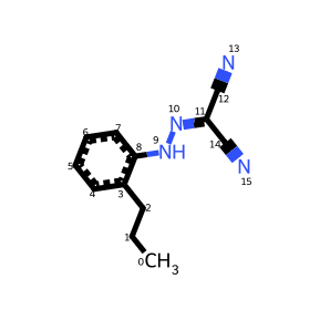 CCCc1ccccc1NN=C(C#N)C#N